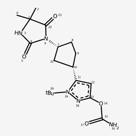 CC1(C)NC(=O)N([C@@H]2CC[C@H](c3cc(OC(N)=O)nn3C(C)(C)C)C2)C1=O